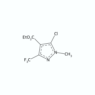 CCOC(=O)c1c(C(F)(F)F)nn(C)c1Cl